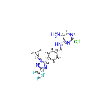 Nc1cnc(Cl)nc1NCc1ccc(-c2nc(C(F)(F)F)nn2C2CC2)cc1